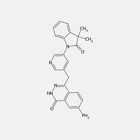 CC1(C)C(=O)N(c2cncc(Cc3n[nH]c(=O)c4cc(P)ccc34)c2)c2ccccc21